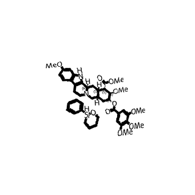 COC(=O)[C@H]1[C@H]2C[C@@H]3c4[nH]c5cc(OC)ccc5c4CCN3C[C@H]2C[C@@H](OC(=O)c2cc(OC)c(OC)c(OC)c2)[C@@H]1OC.c1ccc([SiH]2CCCCO2)cc1